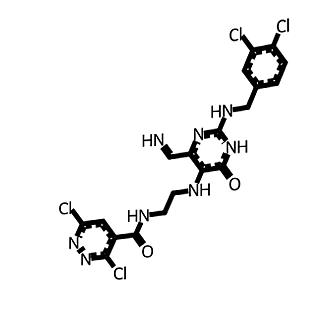 N=Cc1nc(NCc2ccc(Cl)c(Cl)c2)[nH]c(=O)c1NCCNC(=O)c1cc(Cl)nnc1Cl